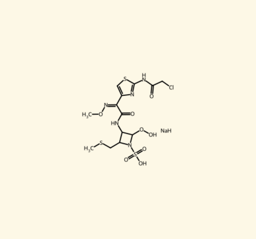 CO/N=C(\C(=O)NC1C(CSC)N(S(=O)(=O)O)C1OO)c1csc(NC(=O)CCl)n1.[NaH]